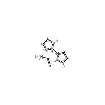 NC=S.c1cn(-c2nccs2)cn1